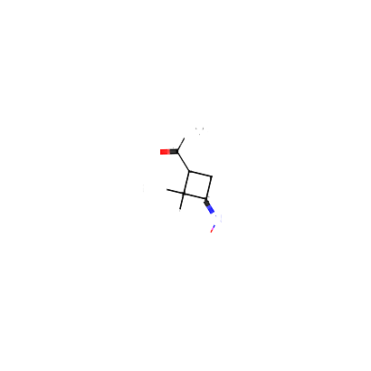 COC(=O)C1C/C(=N/O)C1(C)C